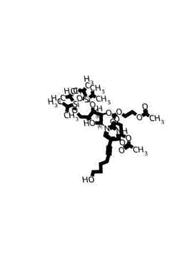 CC(=O)OCCOC(OCCOC(C)=O)O[C@@H]1[C@@H]2O[Si](C(C)C)(C(C)C)O[Si](C(C)C)(C(C)C)OC[C@H]2O[C@H]1n1cc(C#CCCCCO)c(=O)[nH]c1=O